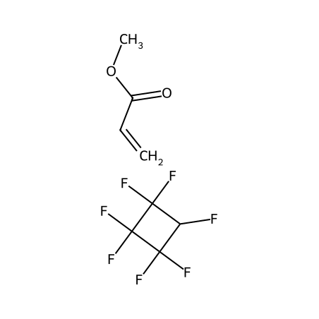 C=CC(=O)OC.FC1C(F)(F)C(F)(F)C1(F)F